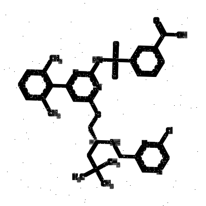 Cc1cccc(C)c1-c1cc(OC[C@@H](CC(C)(C)C)NCc2cncc(Cl)n2)nc(NS(=O)(=O)c2cccc(C(=O)O)c2)n1